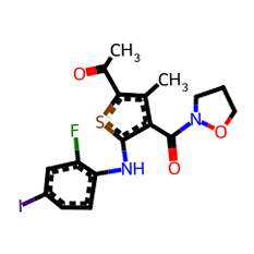 CC(=O)c1sc(Nc2ccc(I)cc2F)c(C(=O)N2CCCO2)c1C